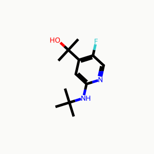 CC(C)(C)Nc1cc(C(C)(C)O)c(F)cn1